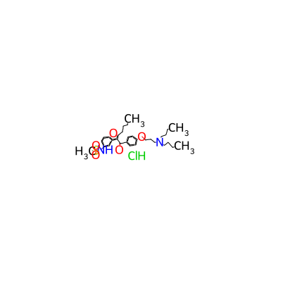 CCCCc1oc2ccc(NS(C)(=O)=O)cc2c1C(=O)c1ccc(OCCCN(CCCC)CCCC)cc1.Cl